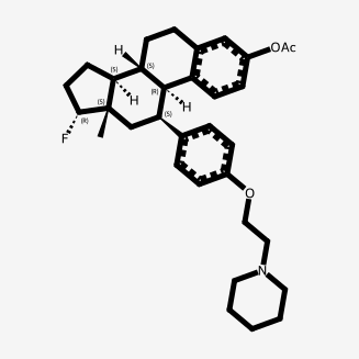 CC(=O)Oc1ccc2c(c1)CC[C@@H]1[C@@H]2[C@@H](c2ccc(OCCN3CCCCC3)cc2)C[C@]2(C)[C@H](F)CC[C@@H]12